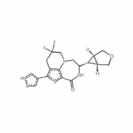 O=C1NC([C@H]2[C@@H]3COC[C@@H]32)CN2CC(F)(F)Cc3c(-c4cn[nH]c4)sc1c32